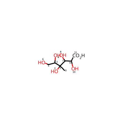 CC(O)(C(O)CO)C(O)C(O)C(=O)O